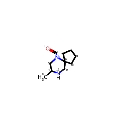 CC1CN(C=O)C2(CCCC2)CN1